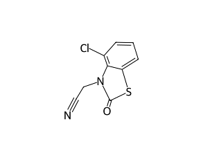 N#CCn1c(=O)sc2cccc(Cl)c21